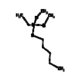 CCCCCO[Si](CC)(OC)OC